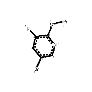 CC(C)Oc1ncc(Br)cc1F